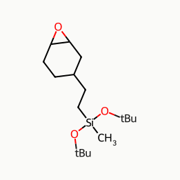 CC(C)(C)O[Si](C)(CCC1CCC2OC2C1)OC(C)(C)C